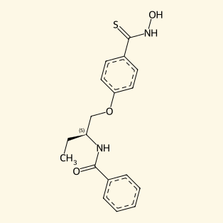 CC[C@@H](COc1ccc(C(=S)NO)cc1)NC(=O)c1ccccc1